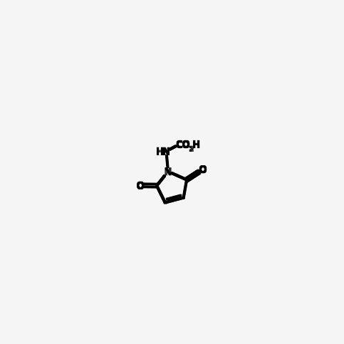 O=C(O)NN1C(=O)C=CC1=O